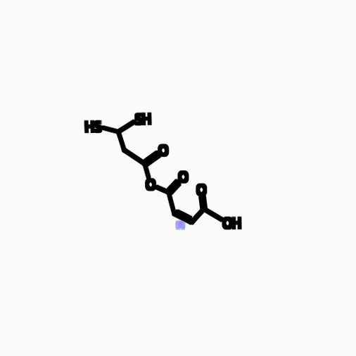 O=C(O)/C=C\C(=O)OC(=O)CC(S)S